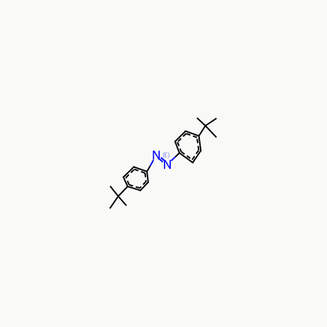 CC(C)(C)c1ccc(/N=N/c2ccc(C(C)(C)C)cc2)cc1